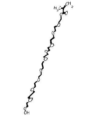 C=C(C)C(=O)OCCOCCOCCOCCOCCOCCOCCOCCOCCOCCOO